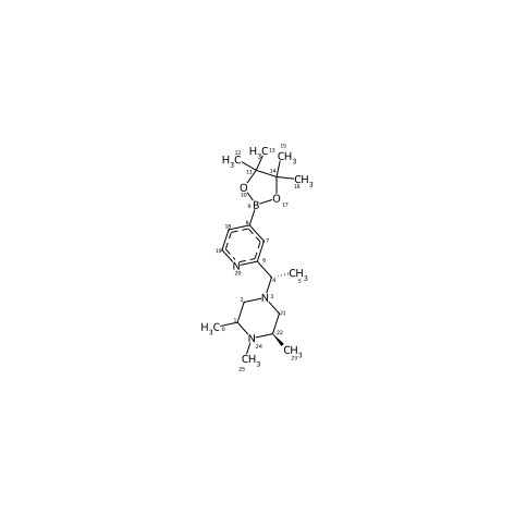 CC1CN([C@@H](C)c2cc(B3OC(C)(C)C(C)(C)O3)ccn2)C[C@@H](C)N1C